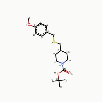 COc1ccc(CSCC2CCN(C(=O)OC(C)(C)C)CC2)cc1